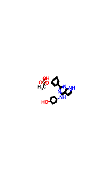 CS(=O)(=O)O.O[C@H]1CC[C@H](Nc2nc(-c3ccccc3)nc3[nH]ccc23)CC1